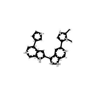 Cc1ncc(-c2cc3c(-c4cc5c(-c6ccsc6)cncc5[nH]4)n[nH]c3cn2)n1C